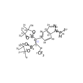 CC1(C)OB(/C(CC(F)(F)F)=C(\B2OC(C)(C)C(C)(C)O2)c2ccc3c(cnn3PI)c2)OC1(C)C